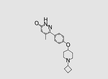 Cc1cc(=O)[nH]nc1-c1ccc(OC2CCN(C3CCC3)CC2)cc1